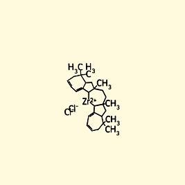 CC1(C)CC=CC=C2C1CC1(C)CCC3(C)CC4C(=CC=CCC4(C)C)[CH]3[Zr+2][CH]21.[Cl-].[Cl-]